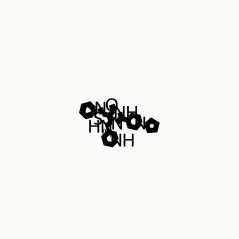 O=c1[nH]c(C2CCN(C3CCCC3)CC2)nc(N[C@@H]2CCCNC2)c1-c1nc2ccccc2s1